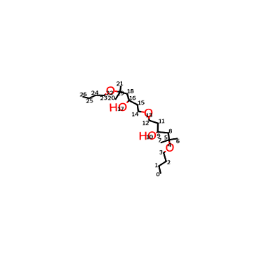 CCCCOC(C)(C)CC(O)CCOCCC(O)CC(C)(C)OCCCC